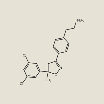 CC(=O)NCCc1ccc(C2=NOC(C)(c3cc(Cl)cc(Cl)c3)C2)cc1